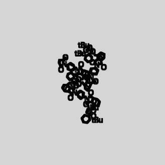 CC(C)(C)O[Si](OCC12C=CC(O1)C1C(=O)N(c3ccc(N4C(=O)C5C6C=CC(CO[Si](OCC78C=CC(O7)C7C(=O)N(c9ccc(N%10C(=O)C=CC%10=O)cc9)C(=O)C78)(OCC78C=CC(O7)C7C(=O)N(c9ccc(N%10C(=O)C%11C%12C=CC(CO[Si](OC(C)(C)C)(OC(C)(C)C)C%13CCCCC%13)(O%12)C%11C%10=O)cc9)C(=O)C78)C7CCCCC7)(O6)C5C4=O)cc3)C(=O)C12)(OC(C)(C)C)C1CCCCC1